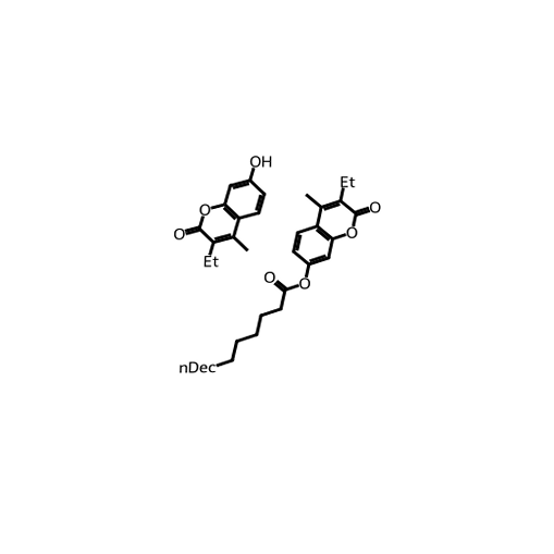 CCCCCCCCCCCCCCCC(=O)Oc1ccc2c(C)c(CC)c(=O)oc2c1.CCc1c(C)c2ccc(O)cc2oc1=O